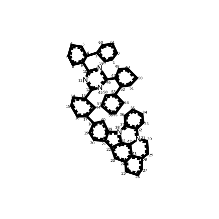 c1ccc(-c2ccccc2-c2nc(-c3cccc(-c4ccc5c6cc7cccc8ccn9c%10ccccc%10n(c5c4)c6c-9c87)c3)nc(-c3ccccc3-c3ccccc3)n2)cc1